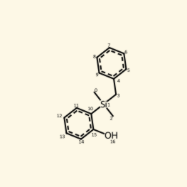 C[Si](C)(Cc1ccccc1)c1ccccc1O